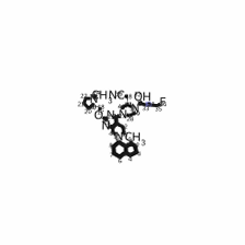 Cc1cccc2cccc(N3CCc4c(nc(OC[C@@H]5CCCN5C)nc4N4CCN(C(O)/C=C/CF)[C@@H](CC#N)C4)C3)c12